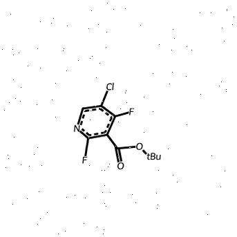 CC(C)(C)OC(=O)c1c(F)ncc(Cl)c1F